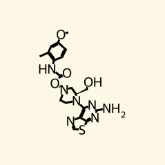 COc1ccc(NC(=O)ON2CCN(c3nc(N)nc4scnc34)[C@H](CO)C2)c(C)c1